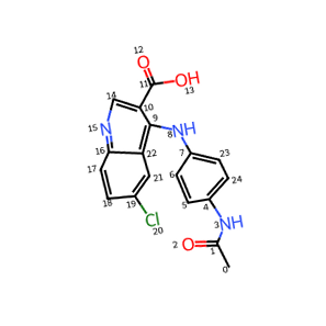 CC(=O)Nc1ccc(Nc2c(C(=O)O)cnc3ccc(Cl)cc23)cc1